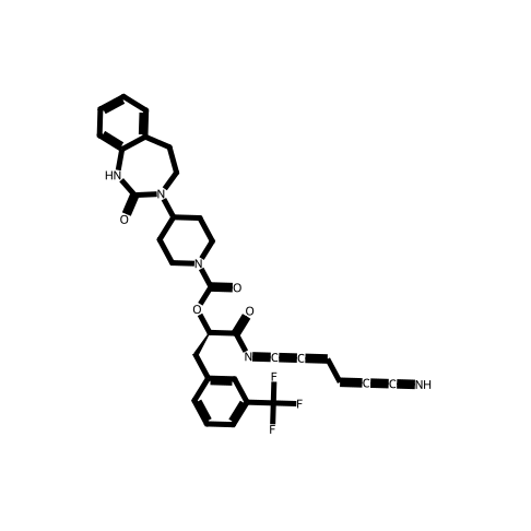 N=C=C=CC=C=C=NC(=O)[C@@H](Cc1cccc(C(F)(F)F)c1)OC(=O)N1CCC(N2CCc3ccccc3NC2=O)CC1